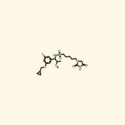 COC(C)C(NS(=O)(=O)CCCCCN1CC(=O)NC1=O)c1cc(F)cc(OCC2CC2)c1